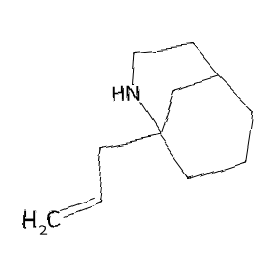 C=CCC12CCCC(CCN1)C2